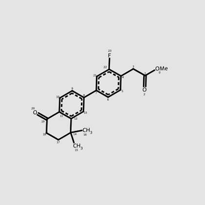 COC(=O)Cc1ccc(-c2ccc3c(c2)C(C)(C)CCC3=O)cc1F